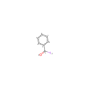 O=C(I)c1ccccc1